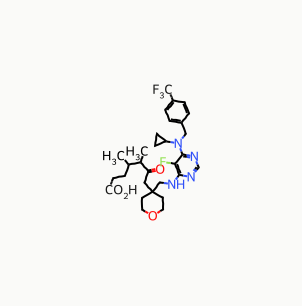 CC(CCC(=O)O)C(C)C(=O)CC1(CNc2ncnc(N(Cc3ccc(C(F)(F)F)cc3)C3CC3)c2F)CCOCC1